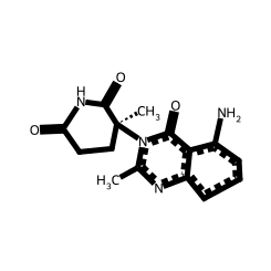 Cc1nc2cccc(N)c2c(=O)n1[C@@]1(C)CCC(=O)NC1=O